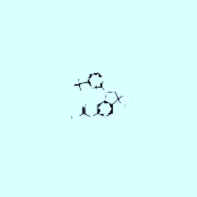 CC(=O)Nc1cc2c(cn1)C(C)(C)CN2c1nccc(C(C)(F)F)n1